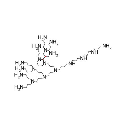 NCCCNCCCNCCCNCCCCN(CCCN(CCCN(CCCN)CCCN)CCCN(CCCN)CCCN)CCCN(CCCN(CCCN)CCCN)CCCN(CCCN)CCCN